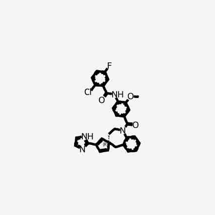 COc1cc(C(=O)N2CC[C@@]3(C=CC(c4ncc[nH]4)=C3)Cc3ccccc32)ccc1NC(=O)c1cc(F)ccc1Cl